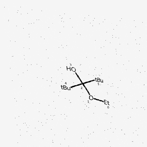 CCOC(O)(C(C)(C)C)C(C)(C)C